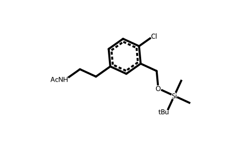 CC(=O)NCCc1ccc(Cl)c(CO[Si](C)(C)C(C)(C)C)c1